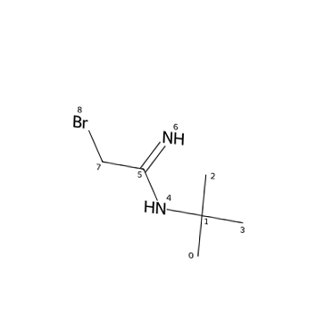 CC(C)(C)NC(=N)CBr